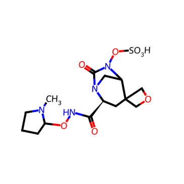 CN1CCCC1ONC(=O)[C@@H]1CC2(COC2)C2CN1C(=O)N2OS(=O)(=O)O